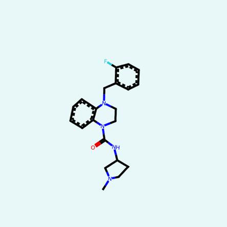 CN1CCC(NC(=O)N2CCN(Cc3ccccc3F)c3ccccc32)C1